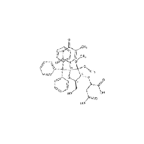 COC1(OC)[C@H](OC(CC(=O)O)C(=O)O)[C@@H](CO)O[C@]1(n1cc(C)c(=O)[nH]c1=O)C(c1ccccc1)(c1ccccc1)c1ccccc1